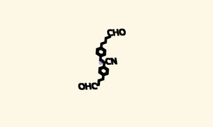 N#C/C(=C\c1ccc(CCCCC=O)cc1)c1ccc(CCCC=O)cc1